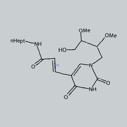 CCCCCCCNC(=O)/C=C/c1cn(CC(OC)C(CO)OC)c(=O)[nH]c1=O